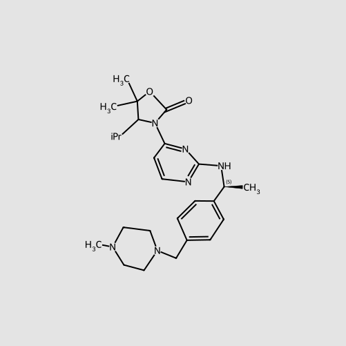 CC(C)C1N(c2ccnc(N[C@@H](C)c3ccc(CN4CCN(C)CC4)cc3)n2)C(=O)OC1(C)C